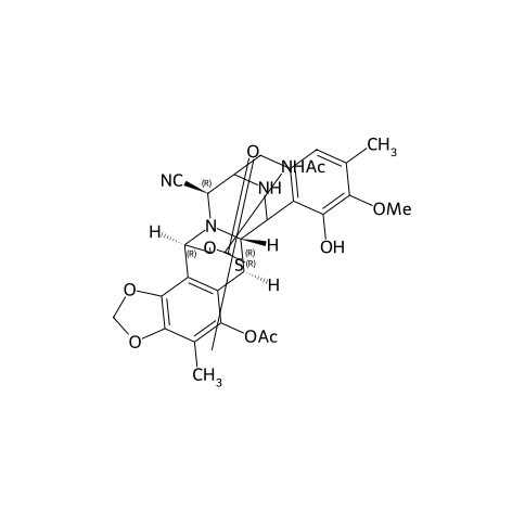 COc1c(C)cc2c(c1O)C1NC(C2)[C@H](C#N)N2[C@H]1[C@@H]1SCC(NC(C)=O)C(=O)OC[C@H]2c2c3c(c(C)c(OC(C)=O)c21)OCO3